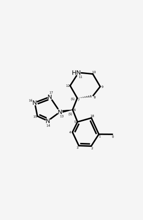 Cc1cccc([C@H]([C@H]2CCCNC2)n2ncnn2)c1